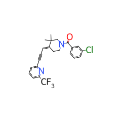 CC1(C)CN(C(=O)c2cccc(Cl)c2)CC/C1=C\C#Cc1cccc(C(F)(F)F)n1